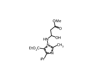 CCOC(=O)c1c(C(C)C)nc(C)n1NC(O)CC(=O)OC